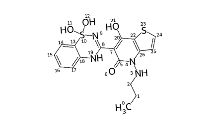 CCCNn1c(=O)c(C2=NS(O)(O)c3ccccc3N2)c(O)c2sccc21